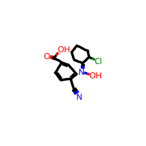 N#Cc1ccc(C(=O)O)cc1.O/N=C1/CCCCC1Cl